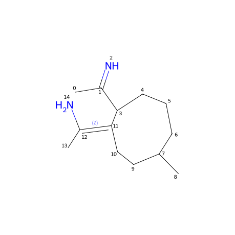 CC(=N)C1CCCC(C)CC/C1=C(\C)N